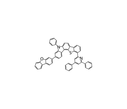 c1ccc(-c2cc(-c3ccccc3)nc(-c3cccc4c3sc3c4ccc4c3c3ccc(-c5ccc6c(c5)oc5ccccc56)cc3n4-c3ccccc3)c2)cc1